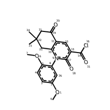 COc1ccc(OC)c(-n2c3c(cc(C(=O)Cl)c2=O)C(=O)CC(C)(C)C3)c1